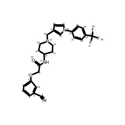 N#Cc1cccc(OCC(=O)NC2CCN(Cc3ccn(-c4ccc(C(F)(F)F)cc4)c3)CC2)c1